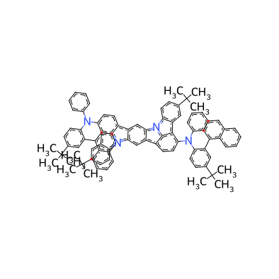 CC(C)(C)c1ccc(N(c2ccccc2)c2ccc3c4cc5c(cc4n4c6ccc(C(C)(C)C)cc6c2c34)c2ccc(N(c3ccccc3)c3ccc(C(C)(C)C)cc3-c3cccc4ccccc34)c3c4cc(C(C)(C)C)ccc4n5c23)c(-c2cccc3ccccc23)c1